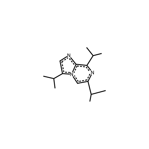 CC(C)c1cn2c(C(C)C)cnc2c(C(C)C)n1